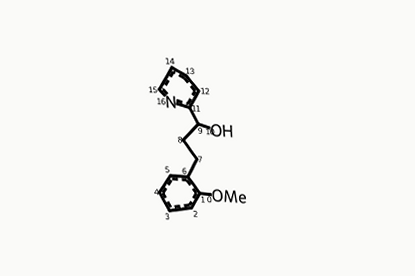 COc1ccccc1CCC(O)c1ccccn1